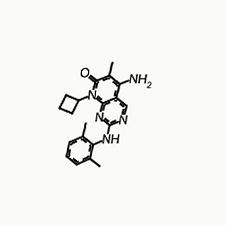 Cc1cccc(C)c1Nc1ncc2c(N)c(C)c(=O)n(C3CCC3)c2n1